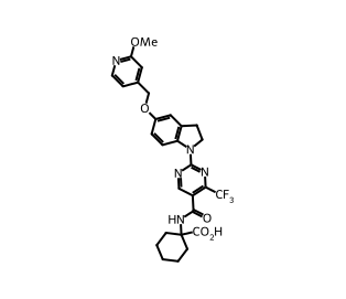 COc1cc(COc2ccc3c(c2)CCN3c2ncc(C(=O)NC3(C(=O)O)CCCCC3)c(C(F)(F)F)n2)ccn1